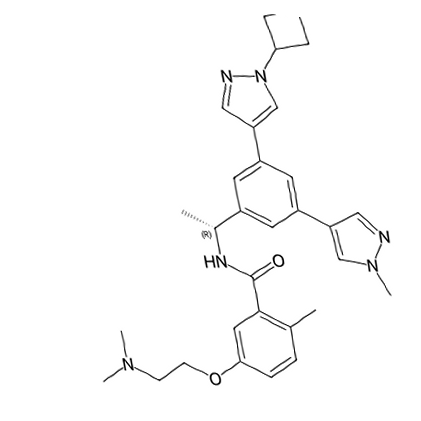 Cc1ccc(OCCN(C)C)cc1C(=O)N[C@H](C)c1cc(-c2cnn(C)c2)cc(-c2cnn(C3CCC3)c2)c1